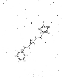 Cc1cn(CCCNCCc2ccccc2)cn1